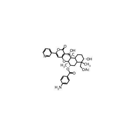 CC(=O)OCC1(C)C2C[C@H](OC(=O)c3ccc(N)cc3)[C@@]3(C)Oc4cc(-c5cccnc5)oc(=O)c4[C@H](O)C3[C@@]2(C)CC[C@@H]1O